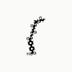 C=CC(=O)OCC(C)(C)COC(=O)CCC(=O)OCCOC(=O)C1CCC(C2CCC(C(=O)O)CC2)CC1